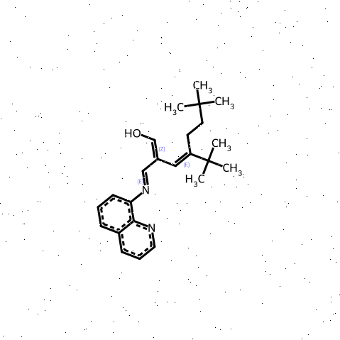 CC(C)(C)CC\C(=C/C(=C/O)/C=N/c1cccc2cccnc12)C(C)(C)C